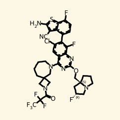 N#Cc1c(N)sc2c(F)ccc(-c3c(Cl)cc4c(N5CCCCC6(CN(C(=O)C(F)(F)C(F)(F)F)C6)C5)nc(OC[C@@]56CCCN5C[C@H](F)C6)nc4c3F)c12